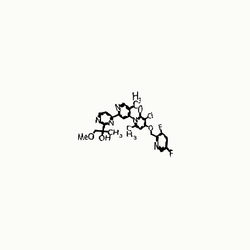 COCC(C)(O)c1nccc(-c2cc(-n3c(C)cc(OCc4ncc(F)cc4F)c(Cl)c3=O)c(C)cn2)n1